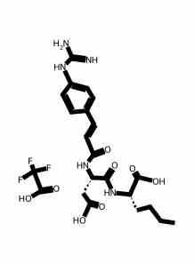 CCCC[C@H](NC(=O)[C@H](CC(=O)O)NC(=O)C=Cc1ccc(NC(=N)N)cc1)C(=O)O.O=C(O)C(F)(F)F